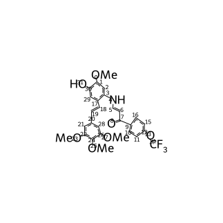 COc1cc(NC=CC(=O)c2ccc(OC(F)(F)F)cc2)c(C=Cc2cc(OC)c(OC)c(OC)c2)cc1O